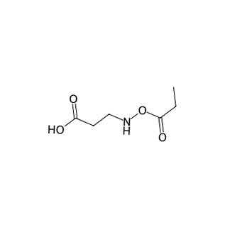 CCC(=O)ONCCC(=O)O